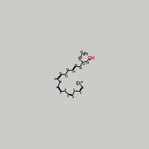 CC/C=C\C/C=C\C/C=C\C/C=C\CC/C=C/CC(CO)SCCC